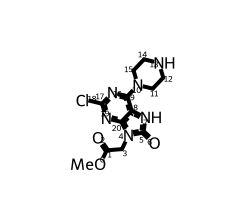 COC(=O)Cn1c(=O)[nH]c2c(N3CCNCC3)nc(Cl)nc21